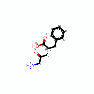 NCC(=O)C[C@@H](Cc1ccccc1)C(=O)O